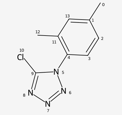 Cc1ccc(-n2nnnc2Cl)c(C)c1